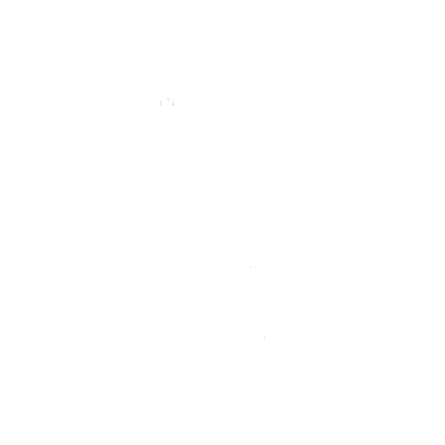 CC=CCOCCCCCCCCCCCCCCCCCC